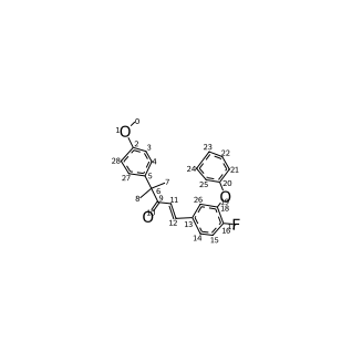 COc1ccc(C(C)(C)C(=O)C=Cc2ccc(F)c(Oc3ccccc3)c2)cc1